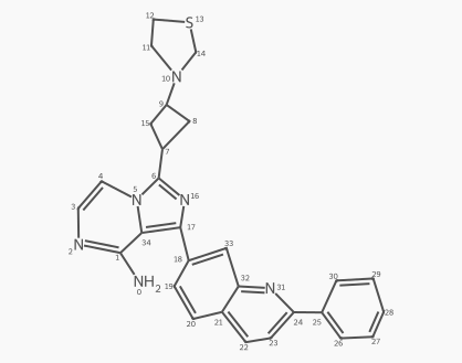 Nc1nccn2c(C3CC(N4CCSC4)C3)nc(-c3ccc4ccc(-c5ccccc5)nc4c3)c12